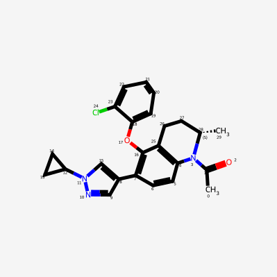 CC(=O)N1c2ccc(-c3cnn(C4CC4)c3)c(Oc3ccccc3Cl)c2CC[C@@H]1C